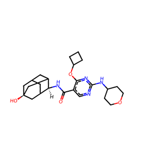 O=C(N[C@H]1C2CC3CC1C[C@@](O)(C3)C2)c1cnc(NC2CCOCC2)nc1OC1CCC1